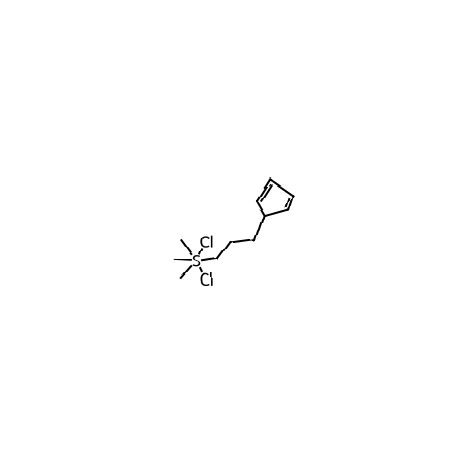 CS(C)(C)(Cl)(Cl)CCCC1C=CC=C1